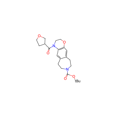 CC(C)(C)OC(=O)N1CCc2cc3c(cc2CC1)N(C(=O)C1CCOC1)CCO3